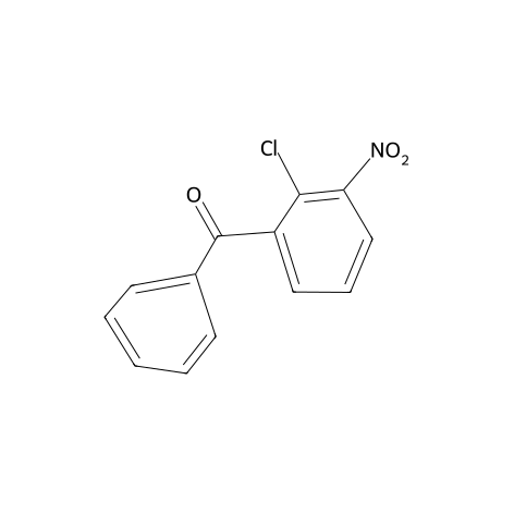 O=C(c1ccccc1)c1cccc([N+](=O)[O-])c1Cl